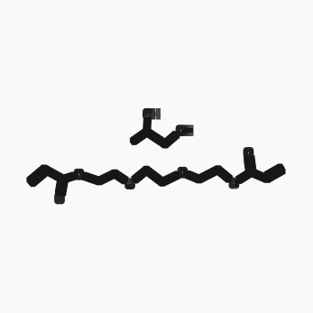 C=CC(=O)OCCOCCOCCOC(=O)C=C.CC(O)CO